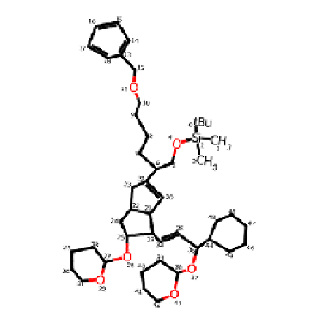 CC(C)(C)[Si](C)(C)OCC(CCCCOCc1ccccc1)C1=CC2C(C1)CC(OC1CCCCO1)C2C=CC(OC1CCCCO1)C1CCCCC1